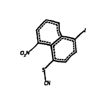 N#CSc1ccc(I)c2cccc([N+](=O)[O-])c12